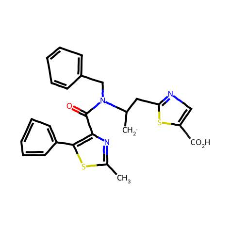 [CH2]C(Cc1ncc(C(=O)O)s1)N(Cc1ccccc1)C(=O)c1nc(C)sc1-c1ccccc1